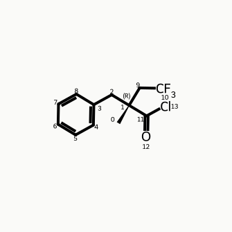 C[C@@](Cc1ccccc1)(CC(F)(F)F)C(=O)Cl